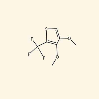 COc1[c]sc(C(F)(F)F)c1OC